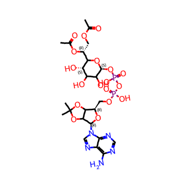 CC(=O)OC[C@@H](OC(C)=O)C1O[C@@H](OP(=O)(O)OP(=O)(O)OC[C@H]2O[C@@H](n3cnc4c(N)ncnc43)C3OC(C)(C)OC32)C(O)C(O)[C@@H]1O